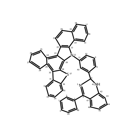 c1ccc(C2=NC(c3cccc(-n4c5c6ccccc6ccc5c5c6ccccc6c6c7ccccc7sc6c54)c3)Nc3ccccc32)cc1